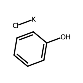 Oc1ccccc1.[Cl][K]